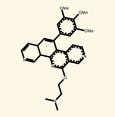 COc1cc(C2=CC3C=CN=CC3c3nc(OCCN(C)C)c4cnccc4c32)cc(OC)c1OC